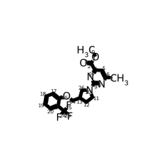 COC(=O)c1cc(C)nc(N2CCC(COc3ccccc3C(F)(F)F)C2)n1